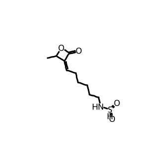 CC1OC(=O)/C1=C\CCCCCN[SH](=O)=O